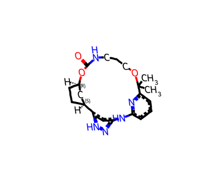 CC1(C)OCCCNC(=O)O[C@@H]2CC[C@@H](C2)c2cc(n[nH]2)Nc2cccc1n2